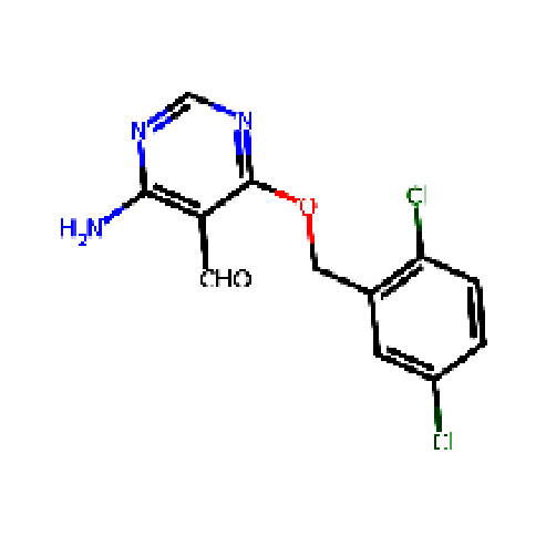 Nc1ncnc(OCc2cc(Cl)ccc2Cl)c1C=O